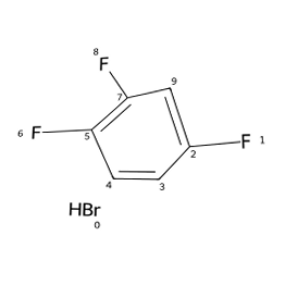 Br.Fc1ccc(F)c(F)c1